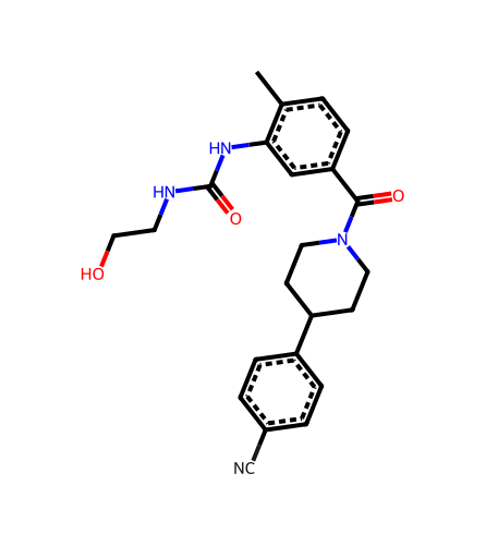 Cc1ccc(C(=O)N2CCC(c3ccc(C#N)cc3)CC2)cc1NC(=O)NCCO